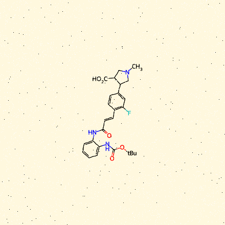 CN1CC(C(=O)O)C(c2ccc(/C=C/C(=O)Nc3ccccc3NC(=O)OC(C)(C)C)c(F)c2)C1